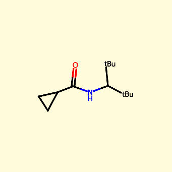 CC(C)(C)C(NC(=O)C1CC1)C(C)(C)C